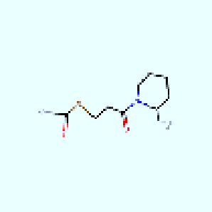 CCCC(=O)SCCC(=O)N1CCC[CH][C]1C(=O)O